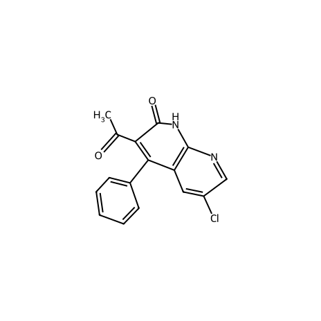 CC(=O)c1c(-c2ccccc2)c2cc(Cl)cnc2[nH]c1=O